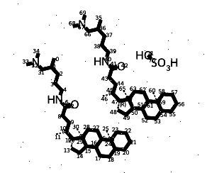 CC(CCCNC(=O)CC[C@@H](C)[C@H]1CCC2C3CCC4CCCC[C@]4(C)C3CC[C@@]21C)CN(C)C.CC(CCCNC(=O)CC[C@@H](C)[C@H]1CCC2C3CCC4CCCC[C@]4(C)C3CC[C@@]21C)CN(C)C.O=S(=O)(O)O